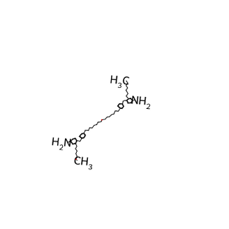 CCCCCCCc1cc(N)ccc1Cc1ccc(CCCCCCCCCCCCCCCCc2ccc(Cc3ccc(N)cc3CCCCCCC)cc2)cc1